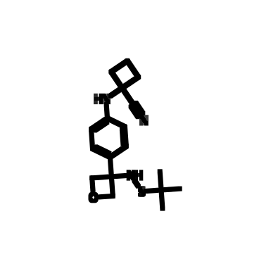 CC(C)(C)SNC1(c2ccc(NC3(C#N)CCC3)cc2)COC1